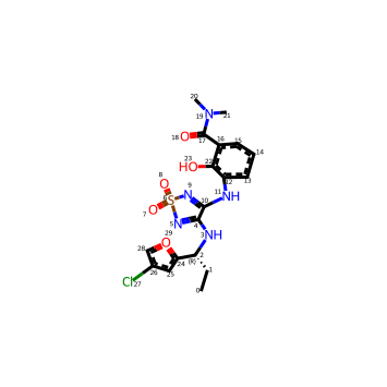 CC[C@@H](NC1=NS(=O)(=O)N=C1Nc1cccc(C(=O)N(C)C)c1O)c1cc(Cl)co1